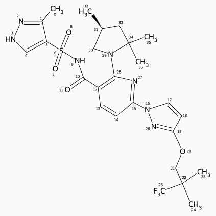 Cc1n[nH]cc1S(=O)(=O)NC(=O)c1ccc(-n2ccc(OCC(C)(C)C(F)(F)F)n2)nc1N1C[C@@H](C)CC1(C)C